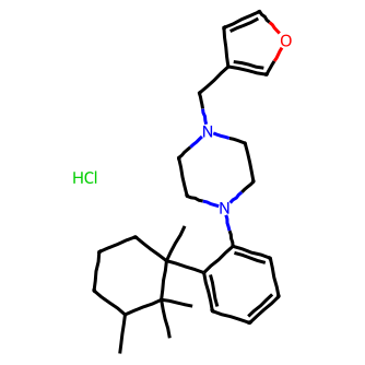 CC1CCCC(C)(c2ccccc2N2CCN(Cc3ccoc3)CC2)C1(C)C.Cl